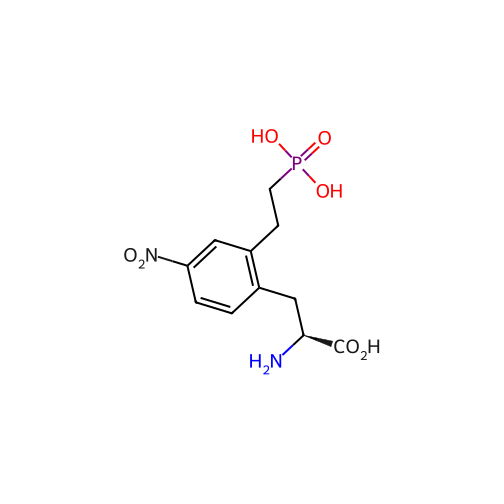 N[C@@H](Cc1ccc([N+](=O)[O-])cc1CCP(=O)(O)O)C(=O)O